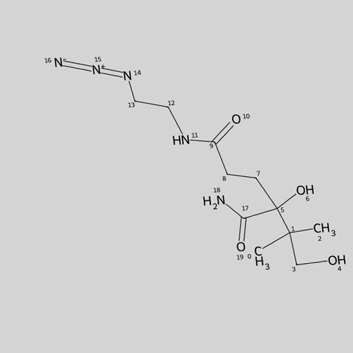 CC(C)(CO)C(O)(CCC(=O)NCCN=[N+]=[N-])C(N)=O